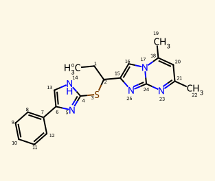 CCC(Sc1nc(-c2ccccc2)c[nH]1)c1cn2c(C)cc(C)nc2n1